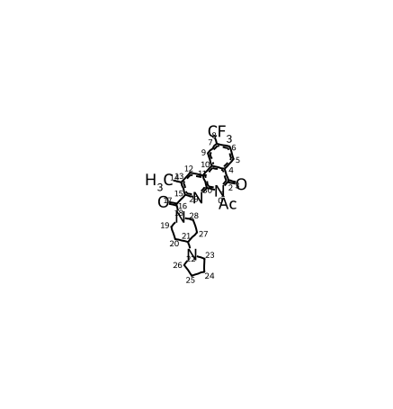 CC(=O)n1c(=O)c2ccc(C(F)(F)F)cc2c2cc(C)c(C(=O)N3CCC(N4CCCC4)CC3)nc21